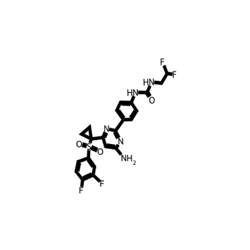 Nc1cc(C2(S(=O)(=O)c3ccc(F)c(F)c3)CC2)nc(-c2ccc(NC(=O)NCC(F)F)cc2)n1